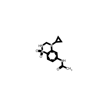 CC(=O)Nc1ccc2c(c1)N(C1CC1)CNS2(=O)=O